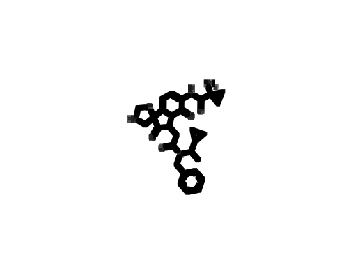 CC(C1CC1)N(Cc1ccccc1)C(=O)CC1C(=O)C2(CNCO2)C2=CC=C(NC(=O)C3(N)CC3)C(=O)C21